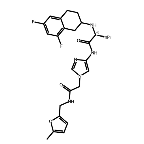 CCC[C@H](NC1CCc2cc(F)cc(F)c2C1)C(=O)Nc1cn(CC(=O)NCc2ccc(C)o2)cn1